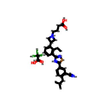 CCc1c(-c2nsc(-c3ccc(CC(C)C)c(C#N)c3)n2)cccc1C1CN(CCCC(=O)O)C1.O=C(O)C(F)(F)F